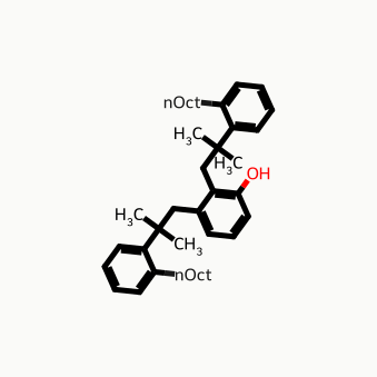 CCCCCCCCc1ccccc1C(C)(C)Cc1cccc(O)c1CC(C)(C)c1ccccc1CCCCCCCC